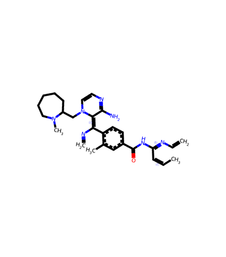 C=C/N=C(\C=C/C)NC(=O)c1ccc(/C(N=C)=C2\C(N)=NC=CN2CC2CCCCCN2C)c(C)c1